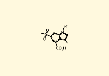 Cc1cn(C(C)C)c2cc(S(C)(=O)=O)cc(C(=O)O)c12